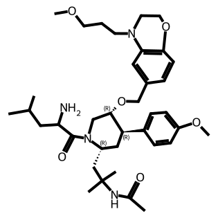 COCCCN1CCOc2ccc(CO[C@H]3CN(C(=O)C(N)CC(C)C)[C@@H](CC(C)(C)NC(C)=O)C[C@@H]3c3ccc(OC)cc3)cc21